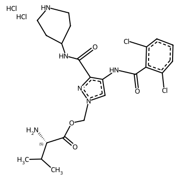 CC(C)[C@H](N)C(=O)OCn1cc(NC(=O)c2c(Cl)cccc2Cl)c(C(=O)NC2CCNCC2)n1.Cl.Cl